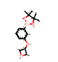 CC1(C)OB(c2cccc(OC3COC3)c2)OC1(C)C